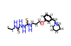 CCNC(=S)NNC(=S)NCCCOc1cccc(CN2CCCCC2)c1